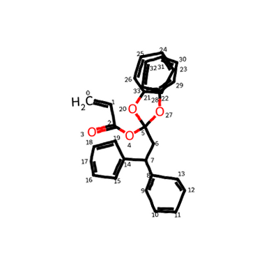 C=CC(=O)OC(CC(c1ccccc1)c1ccccc1)(Oc1ccccc1)Oc1ccccc1